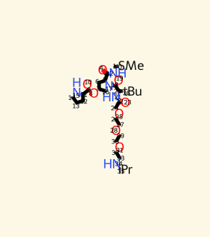 CSCNC(=O)C1CC(OC(=O)C2CCCN2)CN1C(=O)C(NC(=O)COCCOCCOCCNC(C)C)C(C)(C)C